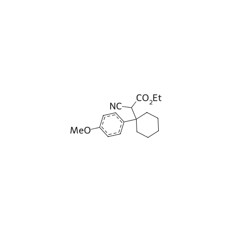 CCOC(=O)C(C#N)C1(c2ccc(OC)cc2)CCCCC1